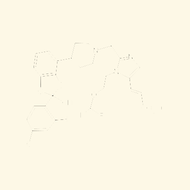 CCOC(=O)/C=C/c1cnc(CN2CCC(c3cccc4c3OC(C)(c3ccc(Cl)cc3F)O4)CC2)n1CCOC(F)F